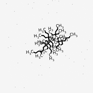 CCCCC(C)(CC)C(CC)(CCC)O[Si](OC(CC)(CC)CCC)(OC(CC)(CCC)CCC)C(C)(CCC)C(CC)(CCCC)C(CC)(CC)CCC(C)CCC